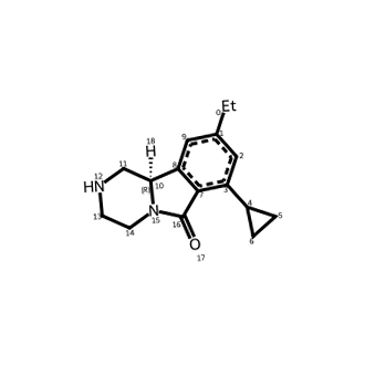 CCc1cc(C2CC2)c2c(c1)[C@@H]1CNCCN1C2=O